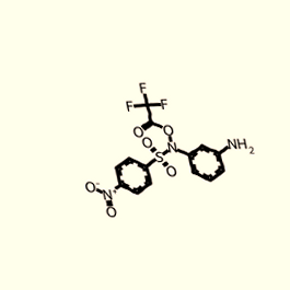 Nc1cccc(N(OC(=O)C(F)(F)F)S(=O)(=O)c2ccc([N+](=O)[O-])cc2)c1